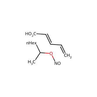 C=CC=CC(=O)O.CCCCCCC(C)ON=O